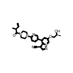 C=CC(C)C(=O)N1CCN(c2ccc(-c3cc(OC[C@H](C)O)cn4ncc(C#N)c34)cn2)CC1